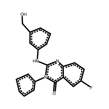 O=c1c2cc(F)ccc2nc(Nc2cccc(CO)c2)n1-c1ccccc1